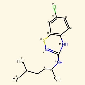 CC(C)CCC(C)NC1=NSc2cc(Cl)ccc2N1